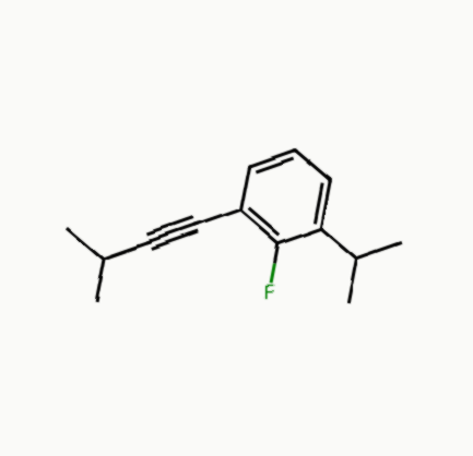 CC(C)C#Cc1cccc(C(C)C)c1F